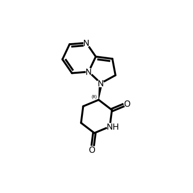 O=C1CC[C@@H](N2CC=C3N=CC=CN32)C(=O)N1